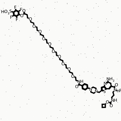 CCCN(CCCNC(=O)OC1CCC1)C(=O)C1=Cc2sc(CN3CCN(c4ccc(C(=O)NCCOCCOCCOCCOCCOCCOCCOCCOCCOCCOCCC(=O)Oc5c(F)c(F)c(S(=O)(=O)O)c(F)c5F)cc4)CC3)cc2N=C(N)C1